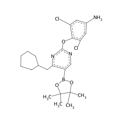 CC1(C)OB(c2cnc(Oc3c(Cl)cc(N)cc3Cl)nc2CC2CCCCC2)OC1(C)C